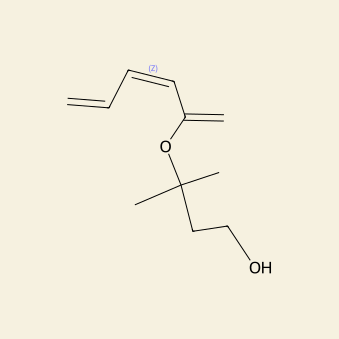 C=C/C=C\C(=C)OC(C)(C)CCO